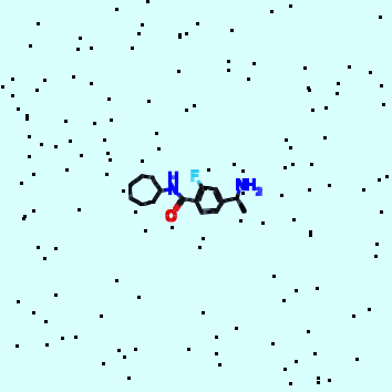 C[C@H](N)c1ccc(C(=O)NC2CCCCCC2)c(F)c1